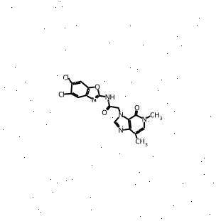 Cc1cn(C)c(=O)c2c1ncn2CC(=O)Nc1nc2cc(Cl)c(Cl)cc2o1